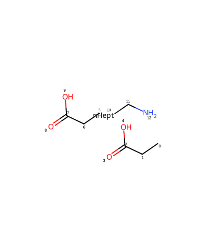 CCC(=O)O.CCC(=O)O.CCCCCCCCN